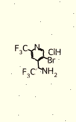 Cl.N[C@@H](c1cc(C(F)(F)F)ncc1Br)C(F)(F)F